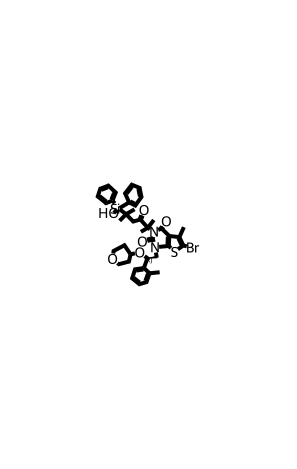 Cc1ccccc1[C@H](Cn1c(=O)n(C(C)(C)C(=O)CC(C)(C)[Si](O)(c2ccccc2)c2ccccc2)c(=O)c2c(C)c(Br)sc21)OC1CCOCC1